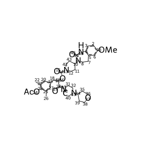 COc1ccc2c(c1)CCN(C1CCN(C(=O)O[C@H](Cc3cc(C)c(OC(C)=O)c(C)c3)C(=O)N3CCN(C4CCOCC4)CC3)CC1)C(=O)N2